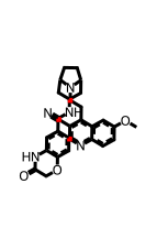 COc1ccc2ncc(C#N)c(CCN3C4CCC3CC(NCc3ccc5c(c3)NC(=O)CO5)C4)c2c1